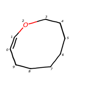 C1=COCCCCCCC1